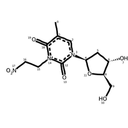 Cc1cn([C@H]2C[C@H](O)[C@@H](CO)O2)c(=O)n(CC[N+](=O)[O-])c1=O